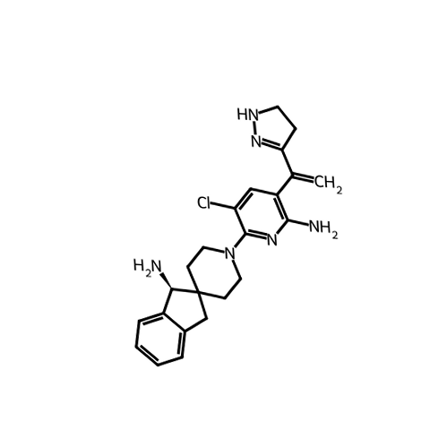 C=C(C1=NNCC1)c1cc(Cl)c(N2CCC3(CC2)Cc2ccccc2[C@H]3N)nc1N